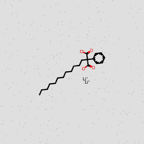 CCCCCCCCCCCCC(C(=O)[O-])(C(=O)[O-])c1ccccc1.[Li+].[Li+]